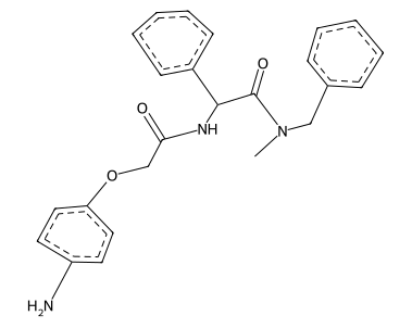 CN(Cc1ccccc1)C(=O)C(NC(=O)COc1ccc(N)cc1)c1ccccc1